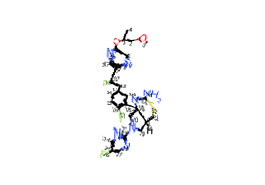 COCC(C)Oc1cnc(/C(F)=C/c2ccc(F)c([C@]34CN(c5ncc(F)cn5)C[C@H]3CSC(N)=N4)c2)cn1